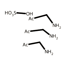 CC(=O)CN.CC(=O)CN.CC(=O)CN.O=S(=O)(O)O